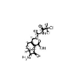 NC1C(=O)N2C(C(=O)O)=C(COC(=O)NC(=O)C(Cl)(Cl)Cl)CS[C@H]12